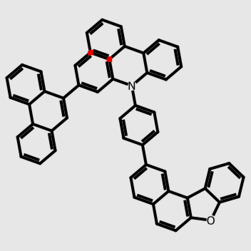 c1ccc(-c2ccccc2N(c2ccc(-c3ccc4ccc5oc6ccccc6c5c4c3)cc2)c2cccc(-c3cc4ccccc4c4ccccc34)c2)cc1